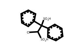 O=S(=O)(O)C(Cl)C(c1ccccc1)(c1ccccc1)S(=O)(=O)O